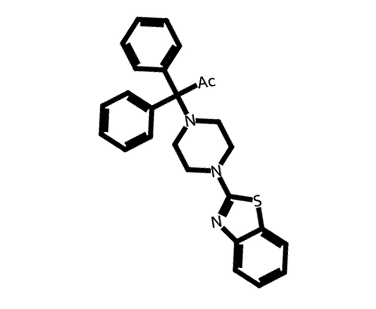 CC(=O)C(c1ccccc1)(c1ccccc1)N1CCN(c2nc3ccccc3s2)CC1